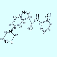 O=C(Nc1ccccc1Cl)c1cnn2ccc(N3CCOCC3)cc12